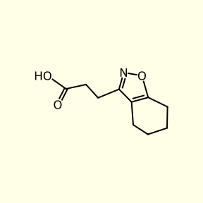 O=C(O)CCc1noc2c1CCCC2